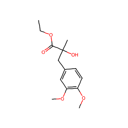 CCOC(=O)C(C)(O)Cc1ccc(OC)c(OC)c1